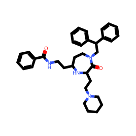 O=C(NCCC1CCN(CC(c2ccccc2)c2ccccc2)C(=O)C(CCN2CCCCC2)N1)c1ccccc1